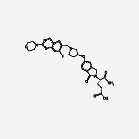 NC(=O)[C@H](CCC(=O)O)N1Cc2cc(O[C@H]3CCN(Cc4cc5cnc(N6CCOCC6)nc5cc4F)C3)ccc2C1=O